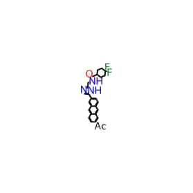 CC(=O)c1ccc2cc3cc(-c4cnc(CNC(=O)C5CCC(F)(F)CC5)[nH]4)ccc3cc2c1